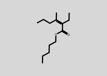 CCCCCOC(=O)C(CC)=C(C)CCC